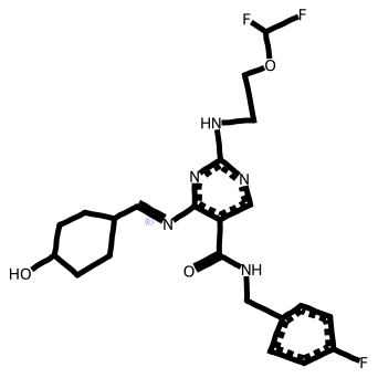 O=C(NCc1ccc(F)cc1)c1cnc(NCCOC(F)F)nc1/N=C/C1CCC(O)CC1